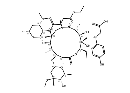 CCOC(=O)CCC(=O)O[C@H]1[C@H](O[C@@H]2[C@@H](C)[C@H](O[C@H]3C[C@@](C)(OC)[C@@H](O)[C@H](C)O3)[C@@H](C)C(=O)O[C@H](CC)[C@@](C)(O)[C@H](O)[C@@H](C)C(=O)[C@H](C)C[C@@]2(C)O)O[C@H](C)C[C@@H]1N(C)C.O=C(O)CNc1ccc(O)cc1